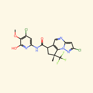 COc1c(Cl)cc(NC(=O)C2C[C@@](C)(C(F)(F)F)c3c2cnc2cc(Cl)nn32)nc1O